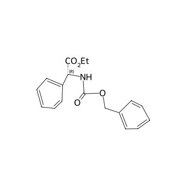 CCOC(=O)[C@H](NC(=O)OCc1ccccc1)c1ccccc1